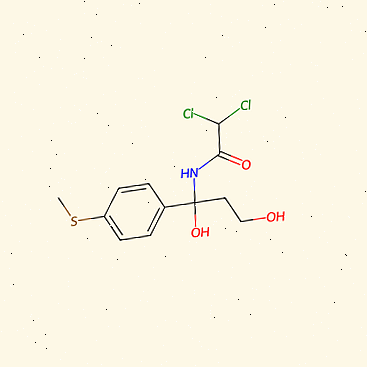 CSc1ccc(C(O)(CCO)NC(=O)C(Cl)Cl)cc1